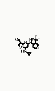 O=Cc1cnn2c(NC3CC3)cc(Nc3ccncc3C(F)(F)F)nc12